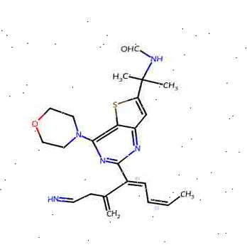 C=C(CC=N)/C(=C\C=C/C)c1nc(N2CCOCC2)c2sc(C(C)(C)NC=O)cc2n1